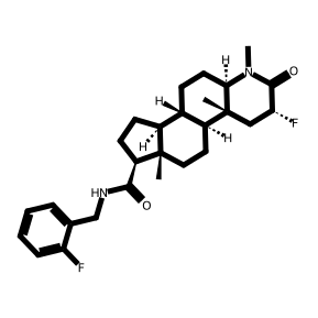 CN1C(=O)[C@H](F)C[C@]2(C)[C@H]3CC[C@]4(C)[C@@H](C(=O)NCc5ccccc5F)CC[C@H]4[C@@H]3CC[C@@H]12